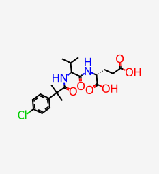 CC(C)[C@H](NC(=O)C(C)(C)c1ccc(Cl)cc1)C(=O)N[C@H](CCC(=O)O)C(=O)O